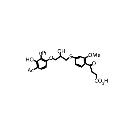 CCCc1c(OCC(O)CSc2ccc(C(=O)CCC(=O)O)c(OC)c2)ccc(C(C)=O)c1O